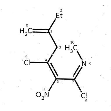 C=C(CC)C/C(Cl)=C(\C(Cl)=N/C)[N+](=O)[O-]